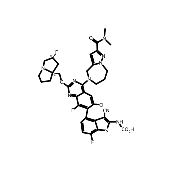 CN(C)C(=O)c1cc2n(n1)CCCN(c1nc(OC[C@@]34CCCN3C[C@H](F)C4)nc3c(F)c(-c4ccc(F)c5sc(NC(=O)O)c(C#N)c45)c(Cl)cc13)C2